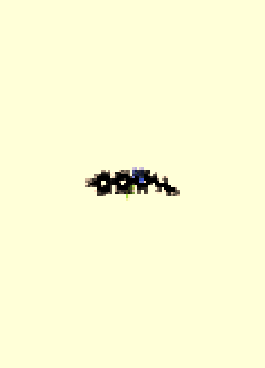 CCCCCc1ccc(-c2ccc([C@H]3CC[C@H](C)CC3)cc2F)nc1